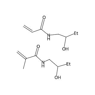 C=C(C)C(=O)NCC(O)CC.C=CC(=O)NCC(O)CC